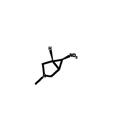 CN1CC2[C@H](C1)[C@H]2[N+](=O)[O-]